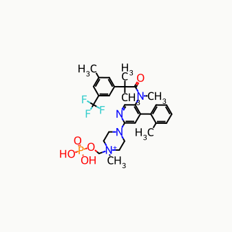 Cc1cc(C(F)(F)F)cc(C(C)(C)C(=O)N(C)c2cnc(N3CC[N+](C)(COP(=O)(O)O)CC3)cc2-c2ccccc2C)c1